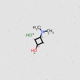 CN(C)C1CC(O)C1.Cl